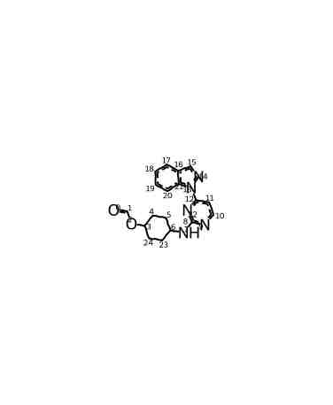 O=COC1CCC(Nc2nccc(-n3ncc4ccccc43)n2)CC1